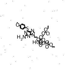 CCOC(=O)OCOC(OCCn1cnc2c(Sc3ccc(OC)cc3)nc(N)nc21)(OCOC(=O)OCC)P(=O)(O)O